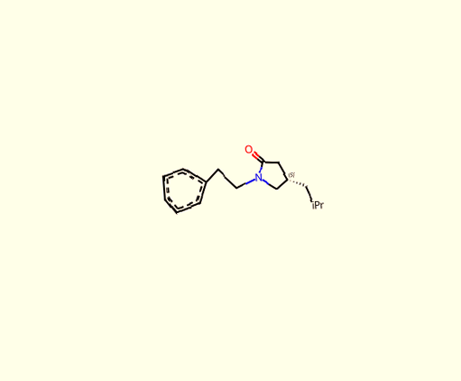 CC(C)C[C@H]1CC(=O)N(CCc2ccccc2)C1